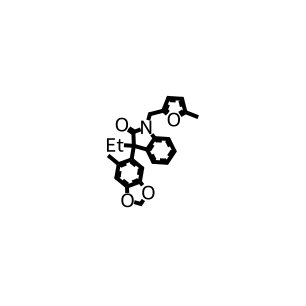 CCC1(c2cc3c(cc2C)OCO3)C(=O)N(Cc2ccc(C)o2)c2ccccc21